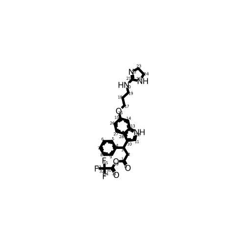 O=C(CC(c1ccccc1)c1c[nH]c2cc(OCCCNC3=NCCN3)ccc12)OC(=O)C(F)(F)F